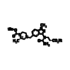 CCOC(=O)CCN(C(N)=O)c1nn(C)c2ccc(CN3CCN(C(=O)OC(C)(C)C)[C@@H](C)C3)cc12